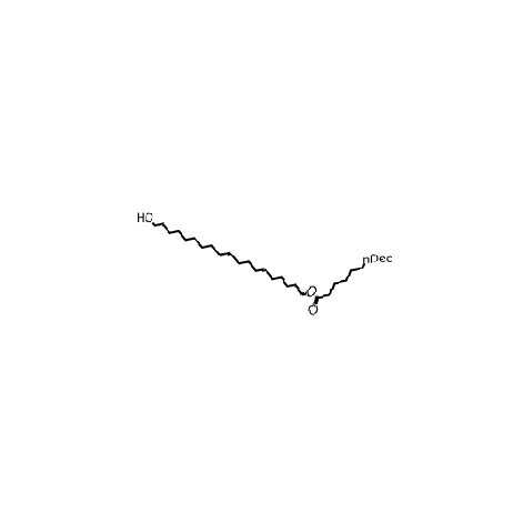 CCCCCCCCCCCCCCCC(=O)OCCCCCCCCCCCCCCCCCCCO